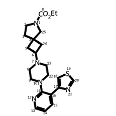 CCOC(=O)N1CCC2(CC(N3CCN(c4ncccc4-c4cscn4)CC3)C2)C1